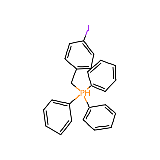 Ic1ccc(C[PH](c2ccccc2)(c2ccccc2)c2ccccc2)cc1